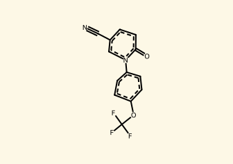 N#Cc1ccc(=O)n(-c2ccc(OC(F)(F)F)cc2)c1